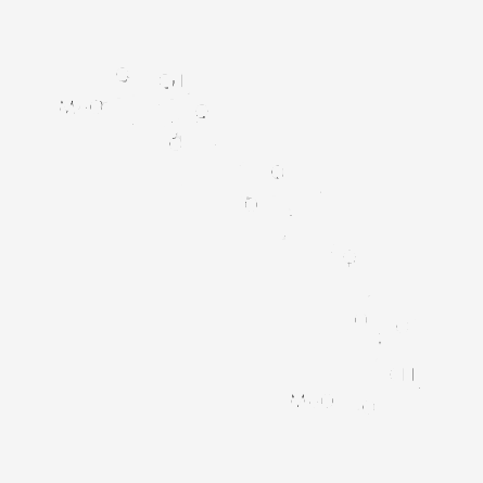 C=C(CC(=O)OC)C(=O)OCCOc1ccc(C(=O)Oc2ccc(OC(=O)C(=C)CC(=O)OC)cc2)cc1